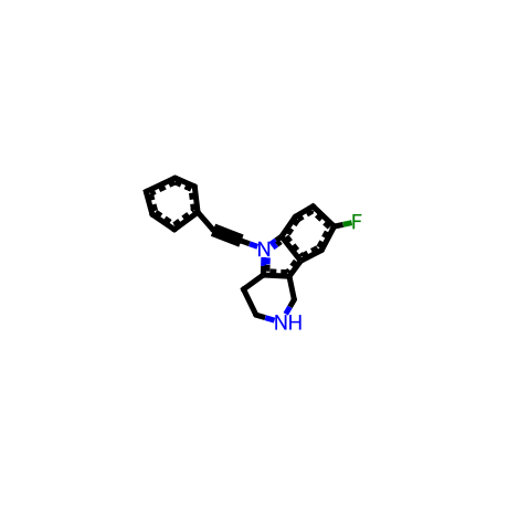 Fc1ccc2c(c1)c1c(n2C#Cc2ccccc2)CCNC1